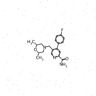 CC1CN(Cc2cnc(C(N)=O)cc2-c2ccc(F)cc2)CC(C)O1